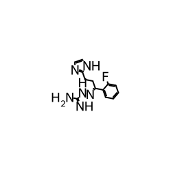 N=C(N)NN=C(CCc1ncc[nH]1)c1ccccc1F